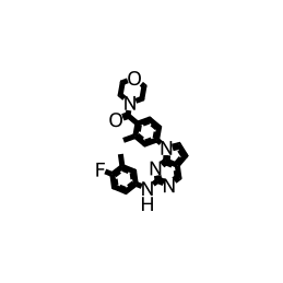 Cc1cc(Nc2ncc3ccn(-c4ccc(C(=O)N5CCOCC5)c(C)c4)c3n2)ccc1F